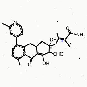 C/C(C[C@]1(O)CC2Cc3c(-c4ccnc(C)c4)ccc(C)c3C(=O)C2=C(O)C1C=O)=C(/C)C(N)=O